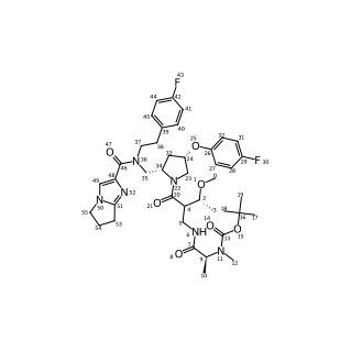 CO[C@H](C)C(CNC(=O)[C@H](C)N(C)C(=O)OC(C)(C)C)C(=O)N1C[C@@H](Oc2ccc(F)cc2)C[C@H]1CN(CCc1ccc(F)cc1)C(=O)c1cn2c(n1)CCC2